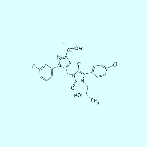 C[C@H](O)c1nc(Cn2c(Cl)c(-c3ccc(Cl)cc3)n(CC(O)C(F)(F)F)c2=O)n(-c2cccc(F)c2)n1